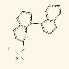 O=P(O)(O)Cc1ccc2cccc(-c3cccc4ccccc34)c2n1